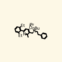 CCCCN(CCc1ccccc1)Cc1c(OC(C)C)cc(-c2c(CC)cccc2CC)nc1C